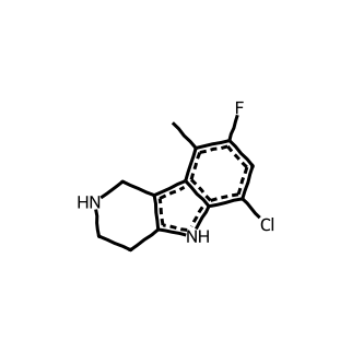 Cc1c(F)cc(Cl)c2[nH]c3c(c12)CNCC3